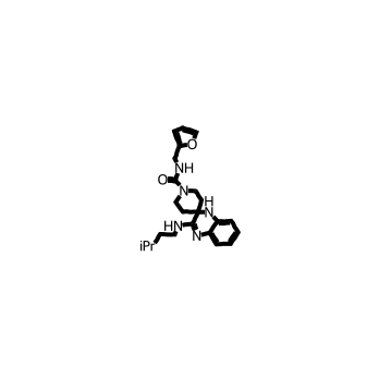 CC(C)CCNC1=Nc2ccccc2NC12CCN(C(=O)NCc1ccco1)CC2